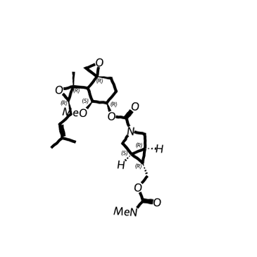 CNC(=O)OC[C@@H]1[C@H]2CN(C(=O)O[C@@H]3CC[C@]4(CO4)C([C@@]4(C)O[C@@H]4CC=C(C)C)[C@@H]3OC)C[C@@H]12